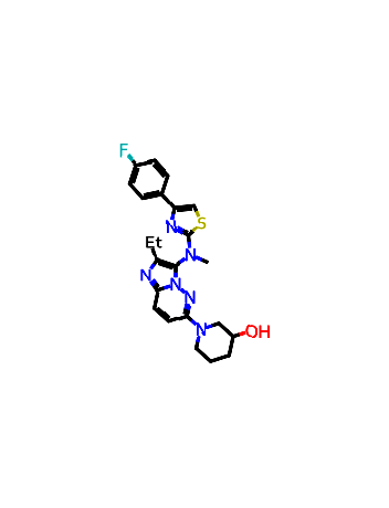 CCc1nc2ccc(N3CCCC(O)C3)nn2c1N(C)c1nc(-c2ccc(F)cc2)cs1